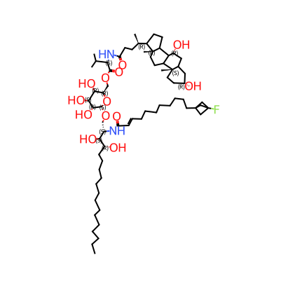 CCCCCCCCCCCCCC[C@@H](O)[C@@H](O)[C@H](CO[C@H]1O[C@H](COC(=O)[C@@H](NC(=O)CC[C@@H](C)C2CCC3C4C(CC[C@@]32C)[C@@]2(C)CC[C@@H](O)CC2C[C@H]4O)C(C)C)[C@H](O)[C@H](O)[C@H]1O)NC(=O)C=CCCCCCCCCC12CC(F)(C1)C2